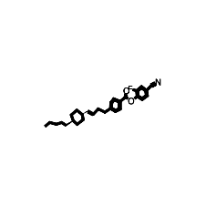 CCCCC[C@H]1CC[C@H](C=CCCc2ccc(C(=O)Oc3ccc(C#N)cc3F)cc2)CC1